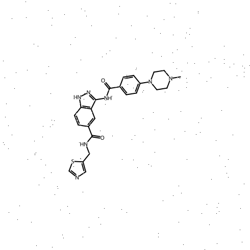 CN1CCN(c2ccc(C(=O)Nc3n[nH]c4ccc(C(=O)NCc5cncs5)cc34)cc2)CC1